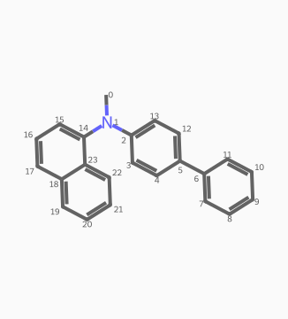 CN(c1ccc(-c2ccccc2)cc1)c1cccc2ccccc12